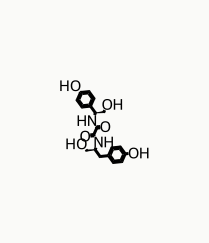 O=C(N[C@H](CO)Cc1ccc(O)cc1)C(=O)N[C@H](CO)c1ccc(O)cc1